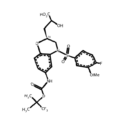 COc1cc(S(=O)(=O)N2C[C@H](CC(O)C(=O)O)Oc3ccc(NC(=O)OC(C)(C)C(F)(F)F)cc32)ccc1F